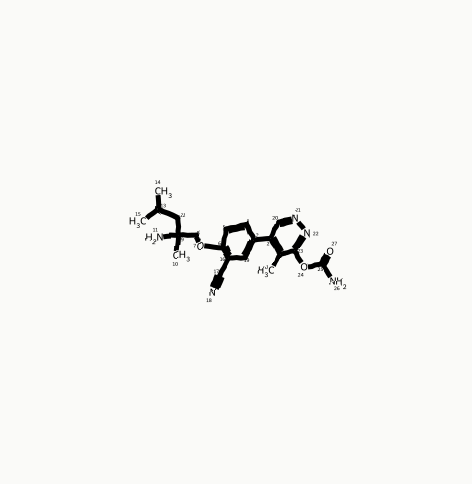 Cc1c(-c2ccc(OCC(C)(N)CC(C)C)c(C#N)c2)cnnc1OC(N)=O